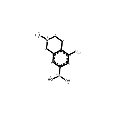 CN1CCc2c(cc(B(O)O)cc2C(F)(F)F)C1